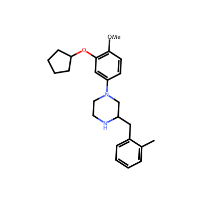 COc1ccc(N2CCNC(Cc3ccccc3C)C2)cc1OC1CCCC1